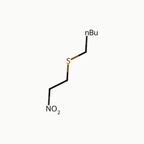 CCCCCSCC[N+](=O)[O-]